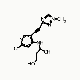 C[C@@H](CCO)Nc1cc(Cl)ncc1C#Cc1ncn(C)n1